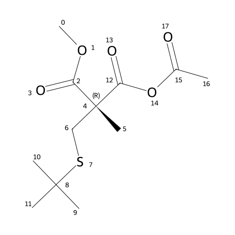 COC(=O)[C@@](C)(CSC(C)(C)C)C(=O)OC(C)=O